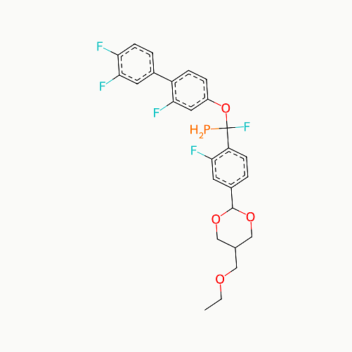 CCOCC1COC(c2ccc(C(F)(P)Oc3ccc(-c4ccc(F)c(F)c4)c(F)c3)c(F)c2)OC1